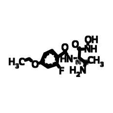 CCOc1ccc(C(=O)N[C@H](C(=O)NO)[C@@H](C)N)c(F)c1